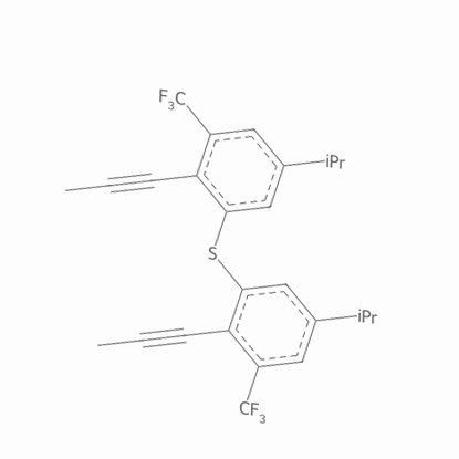 CC#Cc1c(Sc2cc(C(C)C)cc(C(F)(F)F)c2C#CC)cc(C(C)C)cc1C(F)(F)F